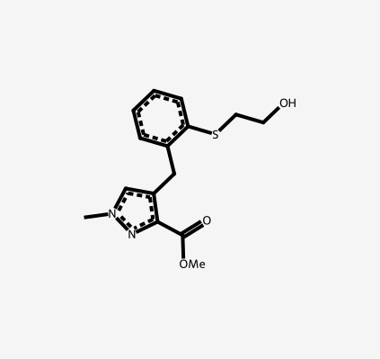 COC(=O)c1nn(C)cc1Cc1ccccc1SCCO